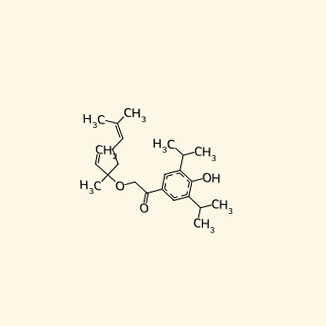 C=CC(C)(CCC=C(C)C)OCC(=O)c1cc(C(C)C)c(O)c(C(C)C)c1